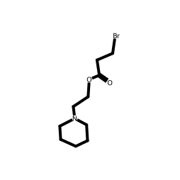 O=C(CCBr)OCCN1CCCCC1